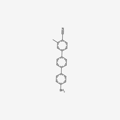 Bc1ccc(-c2ccc(-c3ccc(C#N)c(C)c3)cc2)cc1